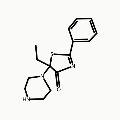 CCC1(N2CCNCC2)SC(c2ccccc2)=NC1=O